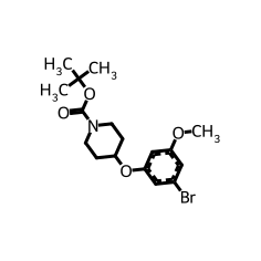 COc1cc(Br)cc(OC2CCN(C(=O)OC(C)(C)C)CC2)c1